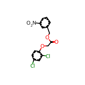 O=C(COc1ccc(Cl)cc1Cl)OCc1cccc([N+](=O)[O-])c1